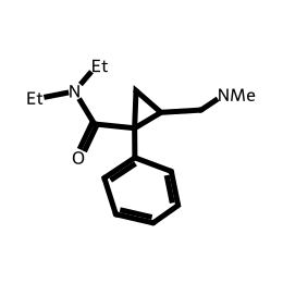 CCN(CC)C(=O)C1(c2ccccc2)CC1CNC